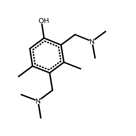 Cc1cc(O)c(CN(C)C)c(C)c1CN(C)C